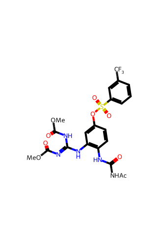 COC(=O)/N=C(\NC(=O)OC)Nc1cc(OS(=O)(=O)c2cccc(C(F)(F)F)c2)ccc1NC(=O)NC(C)=O